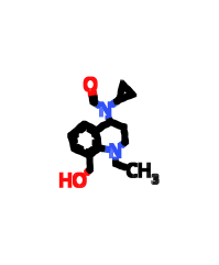 CCN1CCC(N(C=O)C2CC2)c2cccc(CO)c21